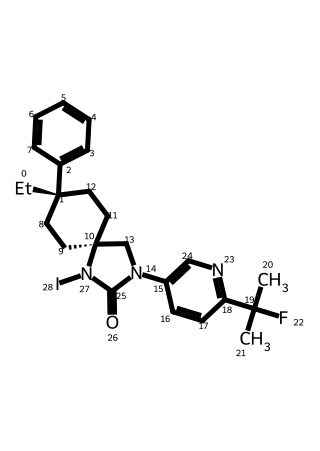 CC[C@]1(c2ccccc2)CC[C@]2(CC1)CN(c1ccc(C(C)(C)F)nc1)C(=O)N2I